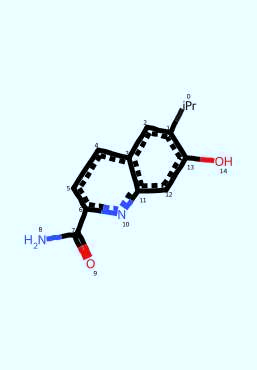 CC(C)c1cc2ccc(C(N)=O)nc2cc1O